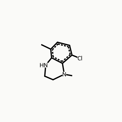 Cc1ccc(Cl)c2c1NCCN2C